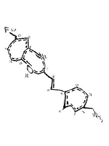 Nc1ccc(/C=C/c2nc3cc(F)ccc3o2)cc1